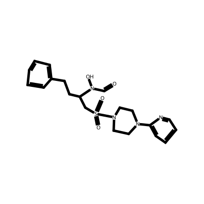 O=CN(O)C(CCc1ccccc1)CS(=O)(=O)N1CCN(c2ccccn2)CC1